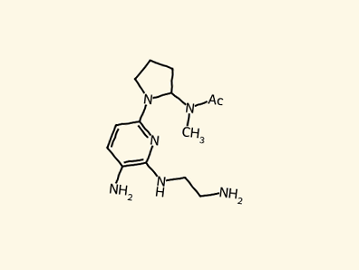 CC(=O)N(C)C1CCCN1c1ccc(N)c(NCCN)n1